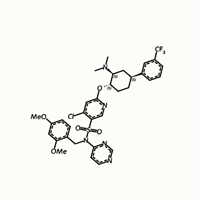 COc1ccc(CN(c2ccncn2)S(=O)(=O)c2cnc(O[C@H]3CC[C@H](c4cccc(C(F)(F)F)c4)C[C@@H]3N(C)C)cc2Cl)c(OC)c1